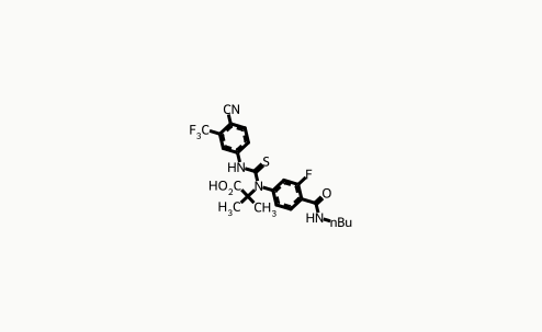 CCCCNC(=O)c1ccc(N(C(=S)Nc2ccc(C#N)c(C(F)(F)F)c2)C(C)(C)C(=O)O)cc1F